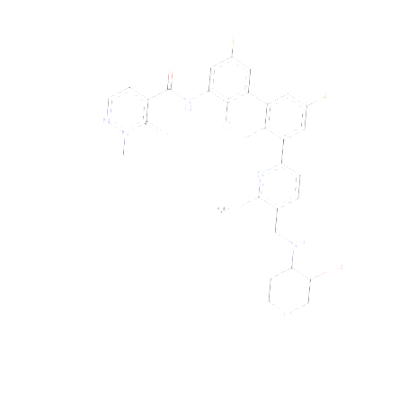 COc1nc(-c2cc(F)cc(-c3cc(F)cc(NC(=O)c4ccnn(C)c4=O)c3Cl)c2Cl)ccc1CNC1CCOCC1O